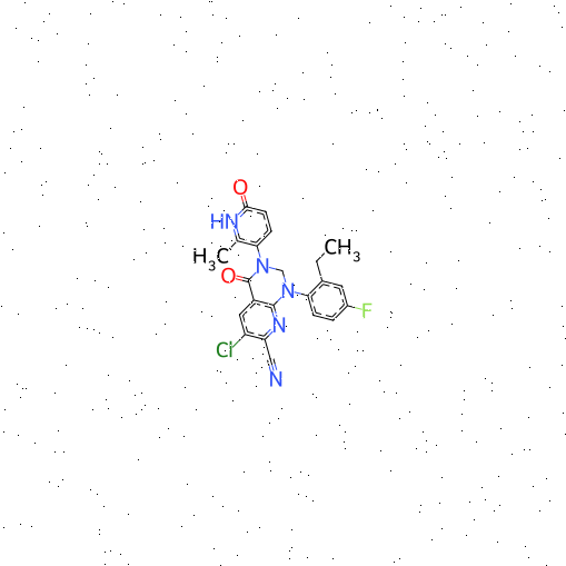 CCc1cc(F)ccc1N1CN(c2ccc(=O)[nH]c2C)C(=O)c2cc(Cl)c(C#N)nc21